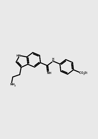 CCOC(=O)c1ccc(NC(=N)c2ccc3[nH]cc(CCN)c3c2)cc1